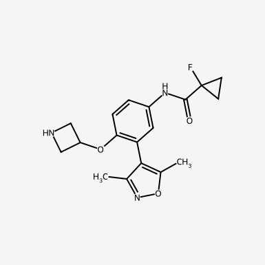 Cc1noc(C)c1-c1cc(NC(=O)C2(F)CC2)ccc1OC1CNC1